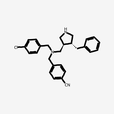 N#Cc1ccc(CN(Cc2ccc(Cl)cc2)C[C@H]2CNC[C@@H]2Cc2ccccc2)cc1